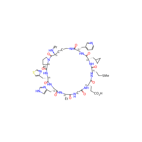 CC[C@@H]1NC(=O)[C@H](Cc2c[nH]cn2)NC(=O)[C@H](Cc2cscn2)NC(=O)[C@H]2CCCN2C(=O)[C@@H](NC(C)C)CCCNC(=O)[C@H](Cc2cccnc2)NC(=O)[C@H](CC2CC2)NC(=O)[C@H](CCSC)NC(=O)[C@H](CCC(=O)O)NC(=O)CNC1=O